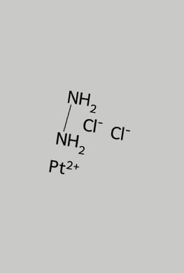 NN.[Cl-].[Cl-].[Pt+2]